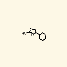 OC1=NC(C2CCCCC2)CS1